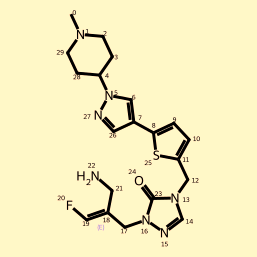 CN1CCC(n2cc(-c3ccc(Cn4cnn(C/C(=C/F)CN)c4=O)s3)cn2)CC1